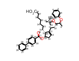 CC(Oc1ccccc1)[C@H](CCC1=CC[C@H](OC(=O)c2ccc(-c3ccccc3)cc2)[C@@H]1CCCCCCC(=O)O)O[Si](C)(C)C(C)(C)C